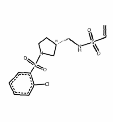 C=CS(=O)(=O)NC[C@H]1CCN(S(=O)(=O)c2ccccc2Cl)C1